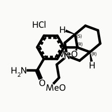 COCCN1C[C@H]2CCC[C@@H](C1)[C@]2(OC)c1cccc(C(N)=O)c1.Cl